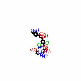 [C-]#[N+]/N=C(\NC[C@H](NC(=O)c1c(Cl)cc(C(O)CC(O)c2ccc3cn[nH]c3c2)cc1Cl)C(=O)O)N1CC[C@H](O)C1